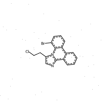 ClCCc1cnc2c3ccccc3c3cccc(Br)c3n12